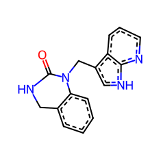 O=C1NCc2ccccc2N1Cc1c[nH]c2ncccc12